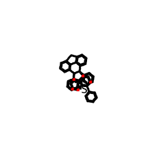 c1ccc(-c2ccc3c4c(cccc24)C24c5cccc6c5-c5c(cccc5C32c2cccc3sc5cccc4c5c23)C6)cc1